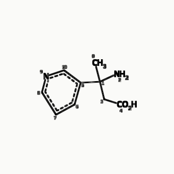 CC(N)(CC(=O)O)c1cccnc1